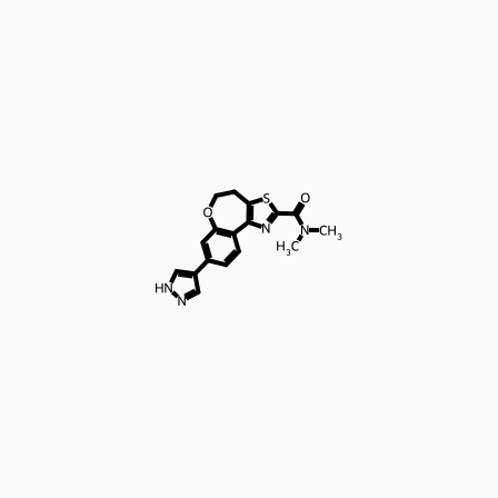 CN(C)C(=O)c1nc2c(s1)CCOc1cc(-c3cn[nH]c3)ccc1-2